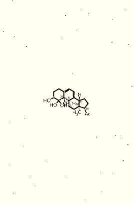 CC(=O)[C@@H]1CC[C@H]2C3=CC=C4CCC(O)C(O)(O)[C@@]4(C)[C@@H]3CC[C@]12C